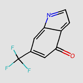 O=C1C=C(C(F)(F)F)C=C2N=CC=C12